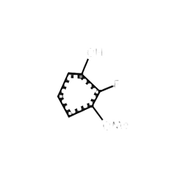 COc1cccc(O)c1F